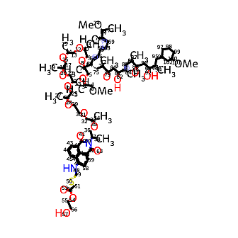 COCC(C)OCC(C)(OCC(C)OCC(C)OCC(C)OCC(C)OCC(C)OCCOCC(C)OCC(C)N1C(=O)c2cccc3c(NCSCC(=O)OCCO)ccc(c23)C1=O)[C@H](/C=C/C=C/C=C(\C)[C@H](C)OC)CC(C)C(=O)CC(O)/C(C)=C/[C@@H](C)C(=O)C[C@H](O)[C@@H](C)CC1CCCC(OC)C1